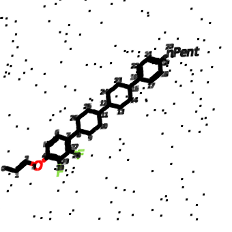 C/C=C/Oc1ccc(C2CCC(C3CCC(c4ccc(CCCCC)cc4)CC3)CC2)c(F)c1F